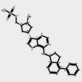 NS(=O)(=O)OC[C@@H]1C[C@@H](c2csc3c(NC4CCc5c(-c6ccccc6)cccc54)ncnc23)C[C@@H]1O